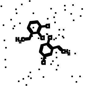 C=Cc1cc(Cl)ccc1Cl.C=Cc1cccc(Cl)c1Cl